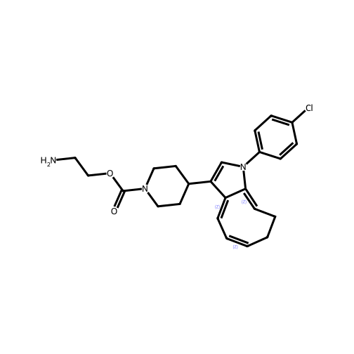 NCCOC(=O)N1CCC(c2cn(-c3ccc(Cl)cc3)c3/c2=C\C=C/CC/C=3)CC1